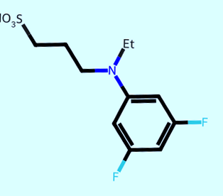 CCN(CCCS(=O)(=O)O)c1cc(F)cc(F)c1